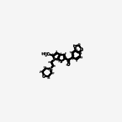 Cc1cc2cc(C(=O)c3ccc4c(c3)OCO4)sc2n1CCN1CCOCC1